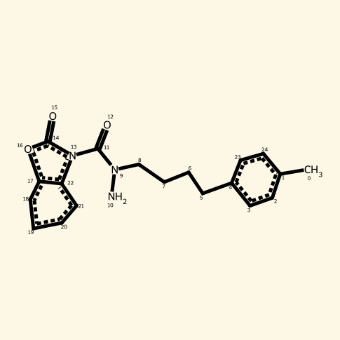 Cc1ccc(CCCCN(N)C(=O)n2c(=O)oc3ccccc32)cc1